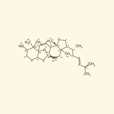 C=C(C)/C=C/C[C@@H](C)C1CC[C@@]2(C)C(/C=C\C34O[C@@H](O)CC3CCC(O)C4(C)C)CCCC12C